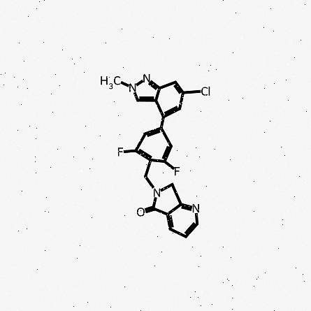 Cn1cc2c(-c3cc(F)c(CN4Cc5ncccc5C4=O)c(F)c3)cc(Cl)cc2n1